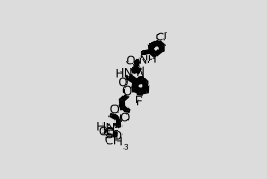 CS(=O)(=O)NCC1COC(CCOc2c(F)ccc3nc(C(=O)NCc4cccc(Cl)c4)[nH]c(=O)c23)CO1